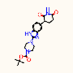 CC(C)(C)OC(=O)N1CCN(c2nc3cc(C4CCC(=O)NC4=O)ccc3[nH]2)CC1